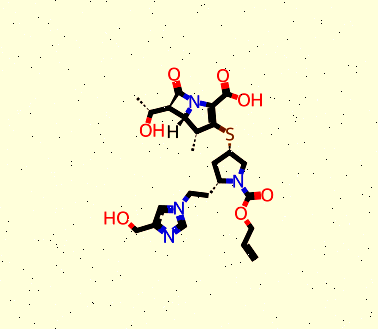 C=CCOC(=O)N1C[C@@H](SC2=C(C(=O)O)N3C(=O)[C@H]([C@@H](C)O)[C@H]3[C@H]2C)C[C@H]1CCn1cnc(CO)c1